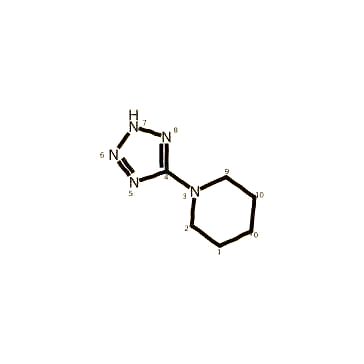 [CH]1CCN(c2nn[nH]n2)CC1